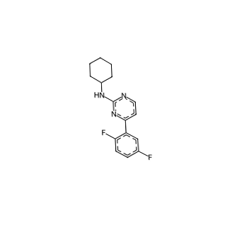 Fc1ccc(F)c(-c2ccnc(NC3CCCCC3)n2)c1